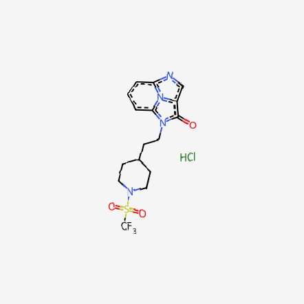 Cl.O=c1c2cnc3cccc(n1CCC1CCN(S(=O)(=O)C(F)(F)F)CC1)n32